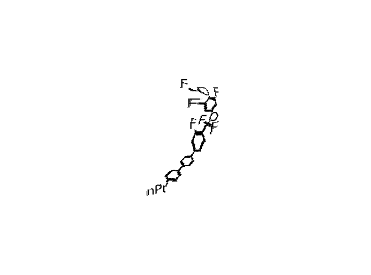 CCCc1ccc(-c2ccc(-c3ccc(C(F)(F)Oc4cc(F)c(OCF)c(F)c4)c(F)c3)cc2)cc1